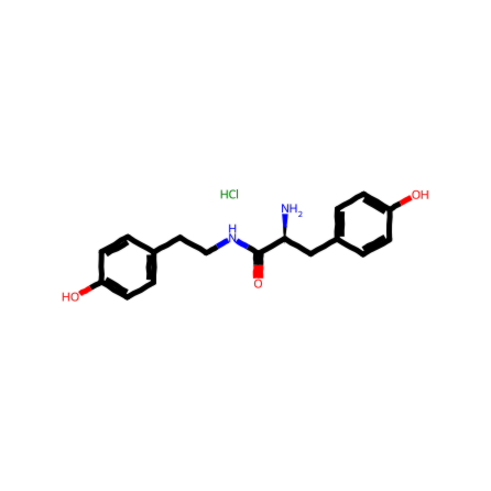 Cl.N[C@@H](Cc1ccc(O)cc1)C(=O)NCCc1ccc(O)cc1